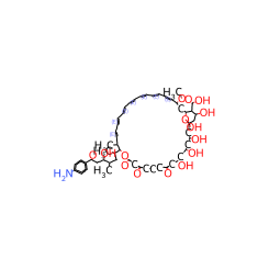 COC1/C=C/C=C/C=C/C=C/C=C/C=C/C=C/C(C)C(C(C)CC(C)C(O)CC(=O)c2ccc(N)cc2)OC(=O)CC(=O)CCCC(=O)CC(O)CC(O)CC(O)CC2(O)CC(O)C(C(=O)O)C(C1)O2